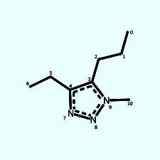 CCCc1c(CC)nnn1C